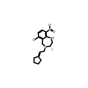 C[C@H]1CNc2c([N+](=O)[O-])ccc(Cl)c2CN1CC=C1CCCC1